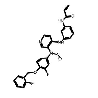 C=CC(=O)Nc1cccc(Nc2ccncc2N(N=O)c2ccc(OCc3ccccc3F)c(F)c2)c1